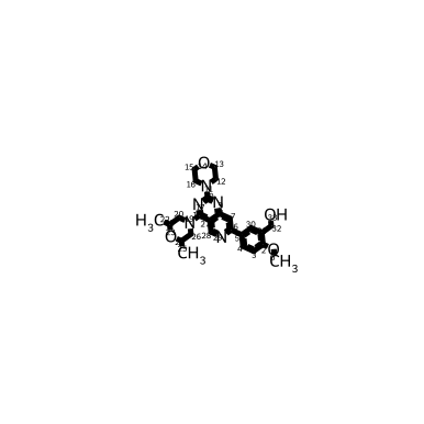 COc1ccc(-c2cc3nc(N4CCOCC4)nc(N4CC(C)OC(C)C4)c3cn2)cc1CO